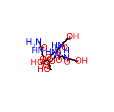 CC(O)CC1OC(CO)C(OCCCNC(=O)CCN)C(OCCCNC(=O)CCNC(=O)CCCCO)C1OCCCNC(=O)CCNC(=O)CCCCO